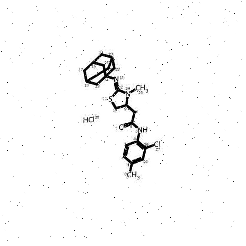 Cc1ccc(NC(=O)CC2CSC(=NC34CC5CC(CC(C5)C3)C4)N2C)c(Cl)c1.Cl